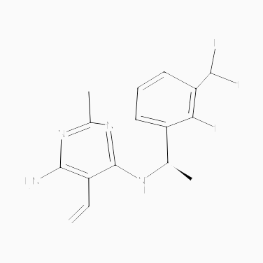 C=Cc1c(N)nc(C)nc1N[C@H](C)c1cccc(C(F)F)c1F